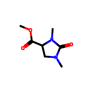 COC(=O)C1CN(C)C(=O)N1C